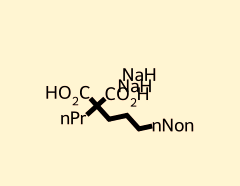 CCCCCCCCCCCCC(CCC)(C(=O)O)C(=O)O.[NaH].[NaH]